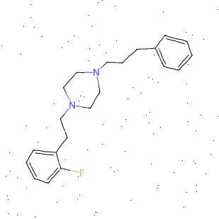 Fc1ccccc1CCN1CCN(CCCc2ccccc2)CC1